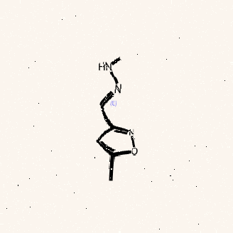 CN/N=C/c1cc(C)on1